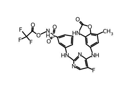 Cc1cc(Nc2nc(Nc3cccc(S(=O)(=O)NOC(=O)C(F)(F)F)c3)ncc2F)cc2[nH]c(=O)oc12